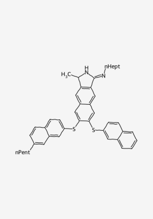 CCCCCCC/N=C1\NC(C)c2cc3cc(Sc4ccc5ccc(CCCCC)cc5c4)c(Sc4ccc5ccccc5c4)cc3cc21